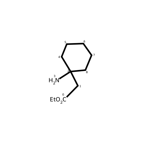 CCOC(=O)CC1(N)CCCCC1